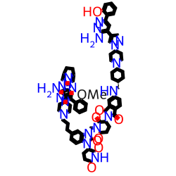 COc1ccccc1-c1cc(N2CC3CCC(C2)N3c2ncc(C3CCN(CCCc4ccc5c(c4)n(CN4C(=O)CCC(N6C(=O)c7ccc(NC[C@H]8CC[C@H](N9CCC(n%10cc(-c%11cc(-c%12ccccc%12O)nnc%11N)cn%10)CC9)CC8)cc7C6=O)C4=O)c(=O)n5C4CCC(=O)NC4=O)CC3)cn2)c(N)nn1